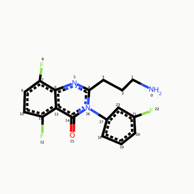 NCCCc1nc2c(F)ccc(F)c2c(=O)n1-c1cccc(F)c1